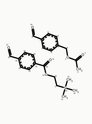 CC(=O)OCc1ccc(C=O)cc1.C[Si](C)(C)CCOC(=O)c1ccc(C=O)cc1